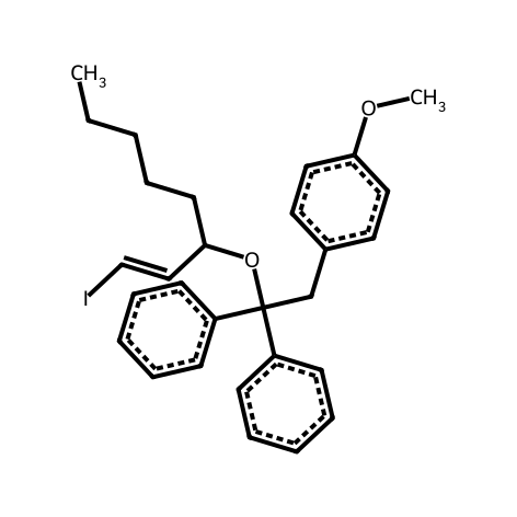 CCCCCC(C=CI)OC(Cc1ccc(OC)cc1)(c1ccccc1)c1ccccc1